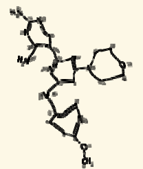 COc1ccc(Nc2cc(N3CCOCC3)nc(-c3cnc(N)nc3N)n2)cn1